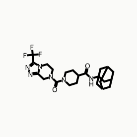 O=C(NC12CC3CC(CC(C3)C1)C2)C1CCN(C(=O)N2CCn3c(nnc3C(F)(F)F)C2)CC1